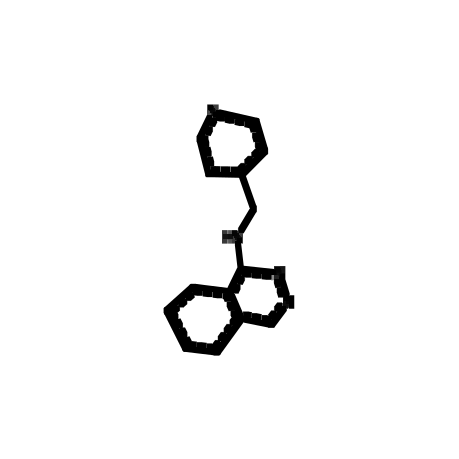 c1ccc2c(NCc3ccncc3)nncc2c1